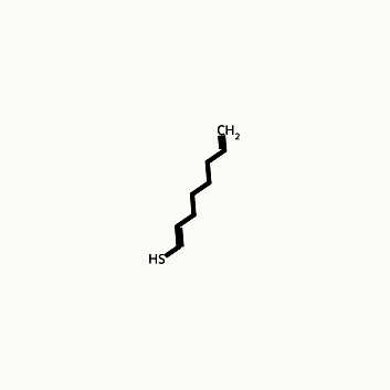 C=CCCCCC=CS